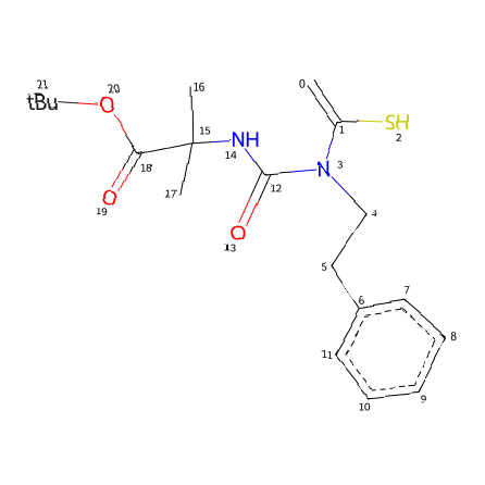 C=C(S)N(CCc1ccccc1)C(=O)NC(C)(C)C(=O)OC(C)(C)C